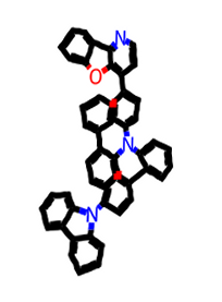 c1ccc(-c2ccccc2N(c2ccc(-c3ccnc4c3oc3ccccc34)cc2)c2ccccc2-c2ccc(-n3c4ccccc4c4ccccc43)cc2)cc1